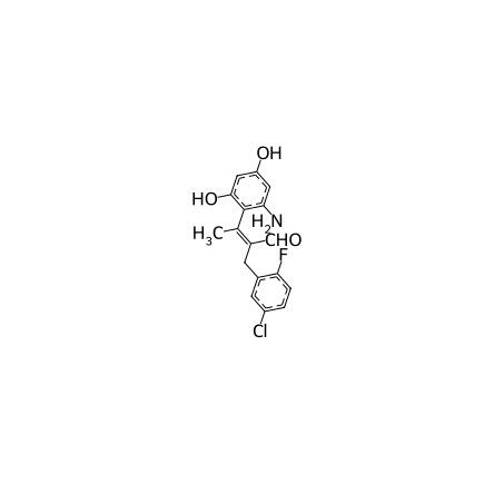 C/C(=C(/C=O)Cc1cc(Cl)ccc1F)c1c(N)cc(O)cc1O